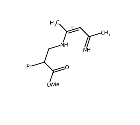 COC(=O)C(CN/C(C)=C\C(C)=N)C(C)C